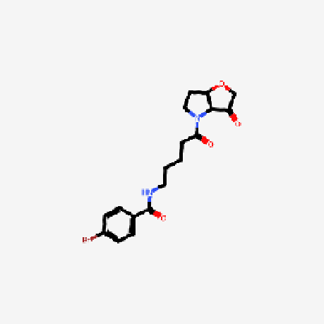 O=C(NCCCCC(=O)N1CCC2OCC(=O)C21)c1ccc(Br)cc1